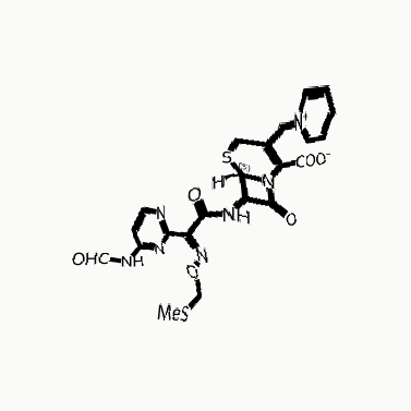 CSCON=C(C(=O)NC1C(=O)N2C(C(=O)[O-])=C(C[n+]3ccccc3)CS[C@@H]12)c1nccc(NC=O)n1